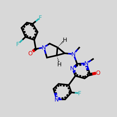 CN(c1nc(-c2ccncc2F)cc(=O)n1C)C1[C@H]2CN(C(=O)c3cc(F)ccc3F)C[C@@H]12